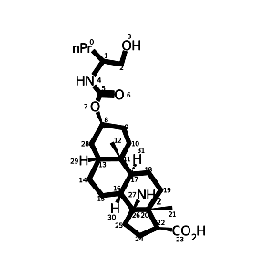 CCCC(CO)NC(=O)O[C@H]1CC[C@@]2(C)[C@H](CC[C@@H]3[C@@H]2CC[C@]2(C)[C@@H](C(=O)O)CC[C@]32N)C1